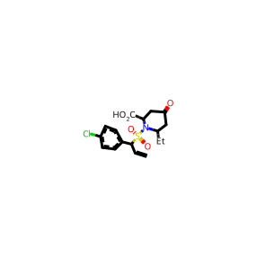 C=CC(c1ccc(Cl)cc1)S(=O)(=O)N1C(CC)CC(=O)CC1C(=O)O